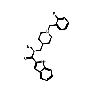 CCN(CC1CCN(Cc2ccccc2F)CC1)C(=O)c1cc2ccccc2[nH]1